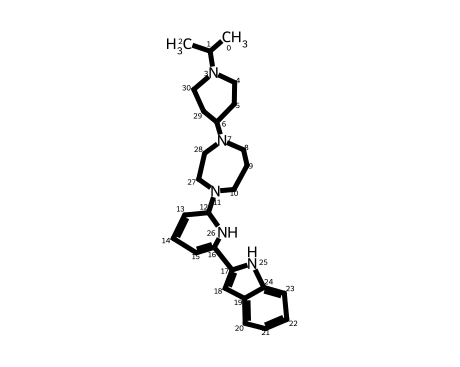 CC(C)N1CCC(N2CCCN(C3C=CC=C(c4cc5ccccc5[nH]4)N3)CC2)CC1